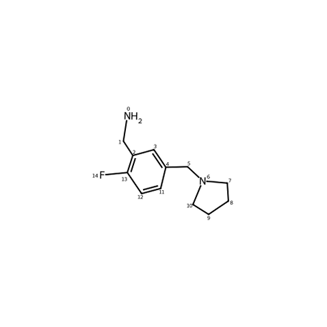 NCc1cc(CN2CCCC2)ccc1F